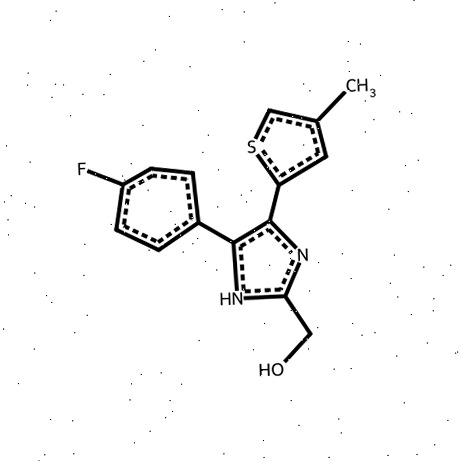 Cc1csc(-c2nc(CO)[nH]c2-c2ccc(F)cc2)c1